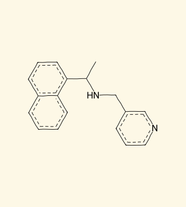 CC(NCc1cccnc1)c1cccc2ccccc12